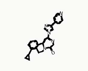 O=C1CN=C(n2cnc(-c3ccncc3)c2)C=C2c3cccc(C4CC4)c3CCN12